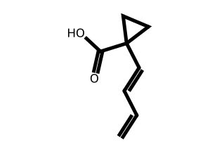 C=CC=CC1(C(=O)O)CC1